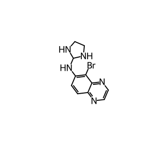 Brc1c(NC2NCCN2)ccc2nccnc12